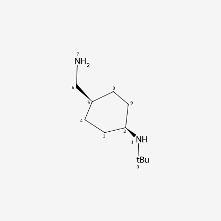 CC(C)(C)N[C@H]1CC[C@@H](CN)CC1